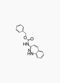 O=C(NC1=NNc2ccccc2C=C1)OCc1ccccc1